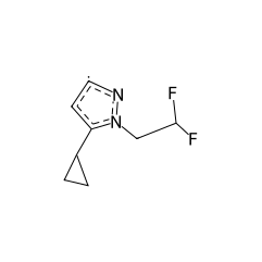 FC(F)Cn1n[c]cc1C1CC1